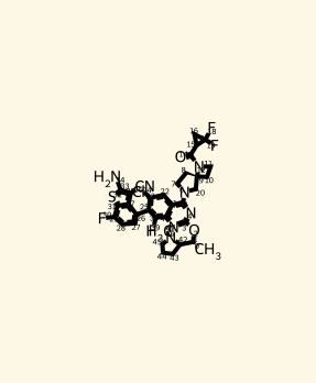 C[C@H](Oc1nc(N2CC[C@@]3(CCN3C(=O)C3CC3(F)F)C2)c2cc(Cl)c(-c3ccc(F)c4sc(N)c(C#N)c34)c(F)c2n1)C1CCCN1C